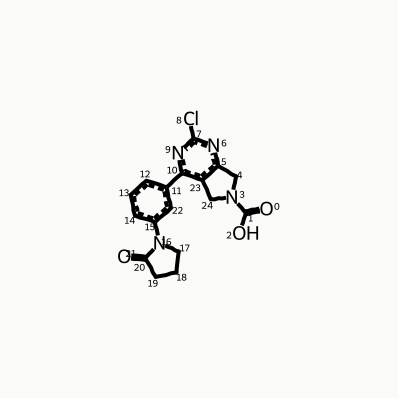 O=C(O)N1Cc2nc(Cl)nc(-c3cccc(N4CCCC4=O)c3)c2C1